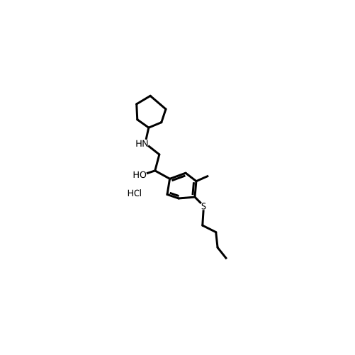 CCCCSc1ccc(C(O)CNC2CCCCC2)cc1C.Cl